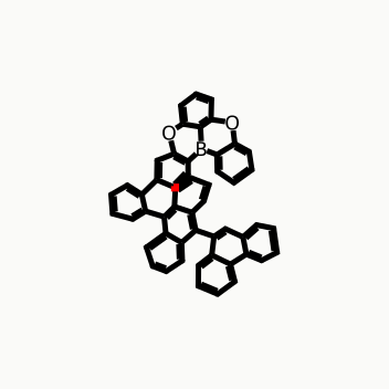 c1ccc2c(c1)Oc1cccc3c1B2c1ccc(-c2ccccc2-c2c4ccccc4c(-c4cc5ccccc5c5ccccc45)c4ccccc24)cc1O3